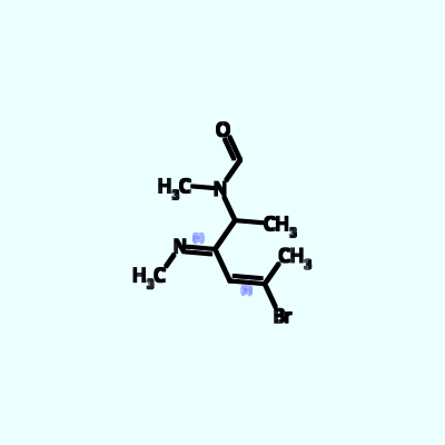 C/N=C(\C=C(/C)Br)C(C)N(C)C=O